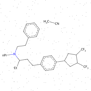 CC#N.CCCN(CCc1ccccc1)C(CC)CCc1ccc(C2CC(C(F)(F)F)C(C(F)(F)F)C2)cc1